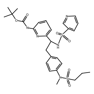 CCCS(=O)(=O)N(C)c1ccc(CC(NS(=O)(=O)c2cccnc2)c2cccc([N]C(=O)OC(C)(C)C)n2)cc1